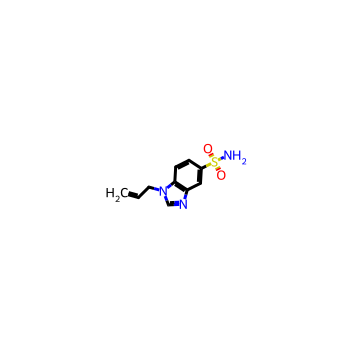 C=CCn1cnc2cc(S(N)(=O)=O)ccc21